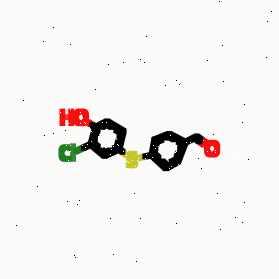 O=Cc1ccc(Sc2ccc(O)c(Cl)c2)cc1